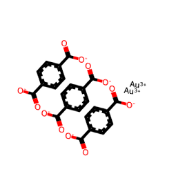 O=C([O-])c1ccc(C(=O)[O-])cc1.O=C([O-])c1ccc(C(=O)[O-])cc1.O=C([O-])c1ccc(C(=O)[O-])cc1.[Au+3].[Au+3]